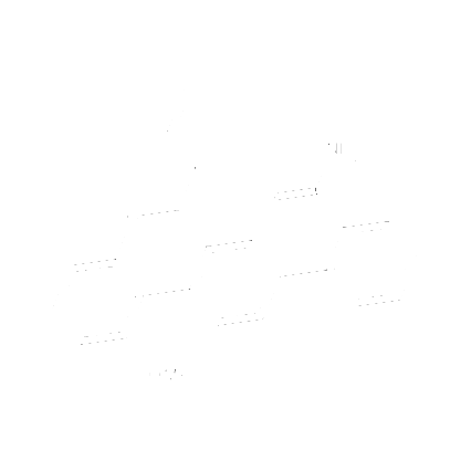 C=CCC1Oc2cccc(OC)c2-c2ccc(-c3ccccc3C(N)=O)cc21